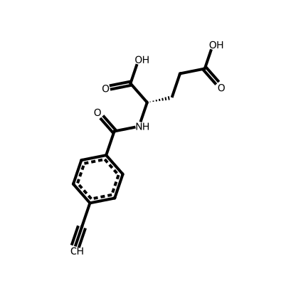 C#Cc1ccc(C(=O)N[C@@H](CCC(=O)O)C(=O)O)cc1